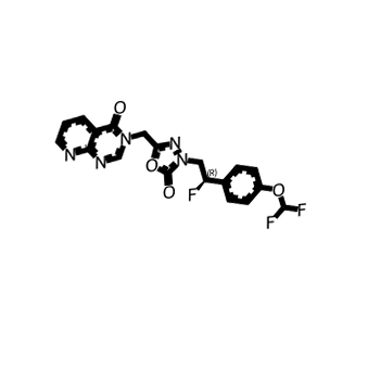 O=c1c2cccnc2ncn1Cc1nn(C[C@H](F)c2ccc(OC(F)F)cc2)c(=O)o1